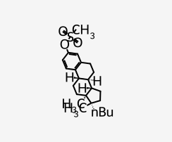 CCCC[C@@]1(C)CC[C@H]2[C@@H]3CCc4cc(OS(C)(=O)=O)ccc4[C@H]3CC[C@@]21C